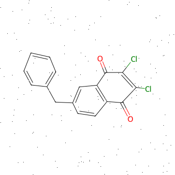 O=C1C(Cl)=C(Cl)C(=O)c2cc(Cc3ccccc3)ccc21